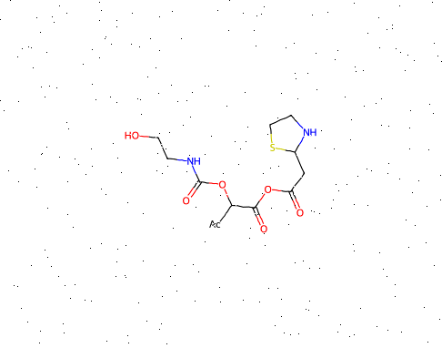 CC(=O)C(OC(=O)NCCO)C(=O)OC(=O)CC1NCCS1